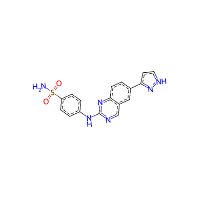 NS(=O)(=O)c1ccc(Nc2ncc3cc(-c4cc[nH]n4)ccc3n2)cc1